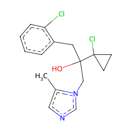 Cc1cncn1CC(O)(Cc1ccccc1Cl)C1(Cl)CC1